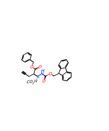 C#CCC(C(=O)OCc1ccccc1)[C@H](NC(=O)OCC1c2ccccc2-c2ccccc21)C(=O)O